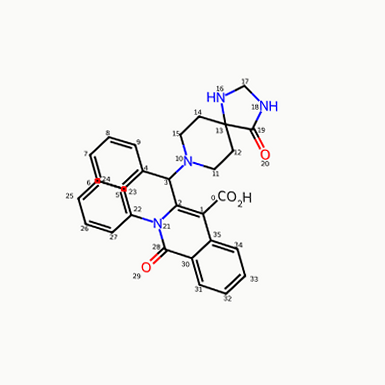 O=C(O)c1c(C(c2ccccc2)N2CCC3(CC2)NCNC3=O)n(-c2ccccc2)c(=O)c2ccccc12